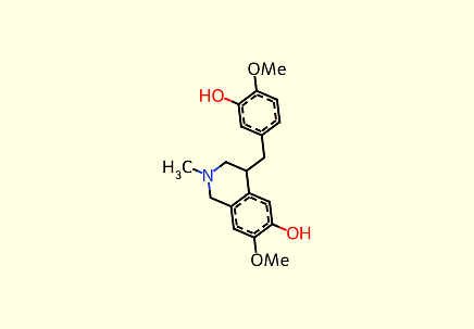 COc1ccc(CC2CN(C)Cc3cc(OC)c(O)cc32)cc1O